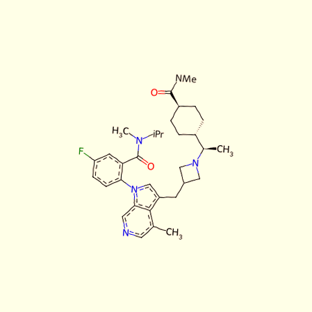 CNC(=O)[C@H]1CC[C@H]([C@@H](C)N2CC(Cc3cn(-c4ccc(F)cc4C(=O)N(C)C(C)C)c4cncc(C)c34)C2)CC1